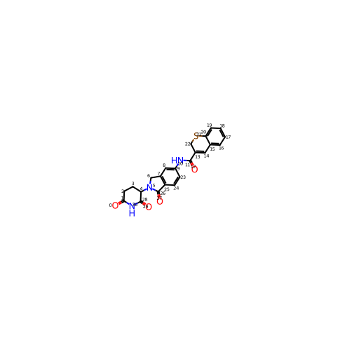 O=C1CCC(N2Cc3cc(NC(=O)C4=Cc5ccccc5SC4)ccc3C2=O)C(=O)N1